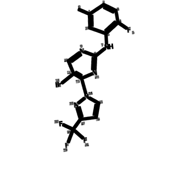 Cc1ccc(F)c(Nc2ncc(Br)c(-n3ccc(C(F)(F)F)n3)n2)c1